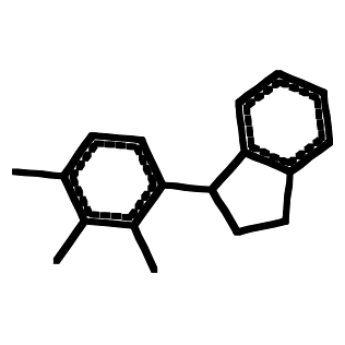 Cc1ccc(C2CCc3ccccc32)c(C)c1C